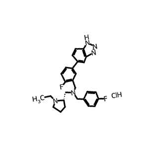 CCN1CCC[C@H]1CN(Cc1ccc(F)cc1)Cc1cc(-c2ccc3[nH]nnc3c2)ccc1F.Cl